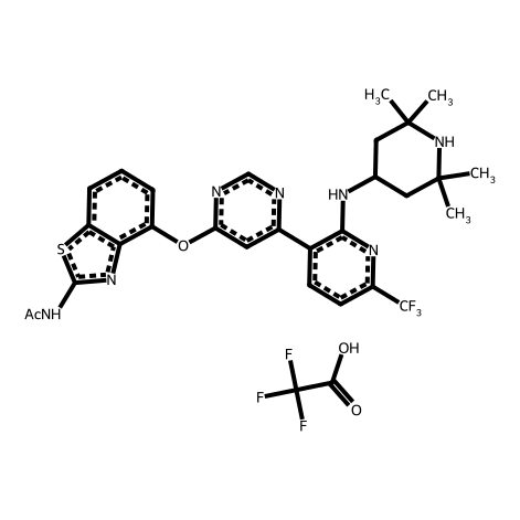 CC(=O)Nc1nc2c(Oc3cc(-c4ccc(C(F)(F)F)nc4NC4CC(C)(C)NC(C)(C)C4)ncn3)cccc2s1.O=C(O)C(F)(F)F